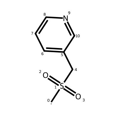 [CH2]S(=O)(=O)Cc1cccnc1